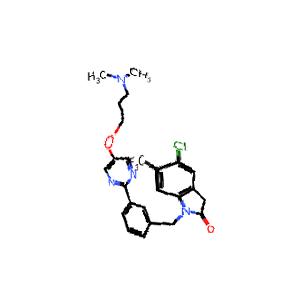 CN(C)CCCOc1cnc(-c2cccc(CN3C(=O)Cc4cc(Cl)c(C(F)(F)F)cc43)c2)nc1